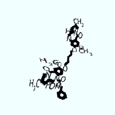 COc1cc2c(cc1OCCCCCOc1cc3c(cc1OC)C(=O)N1C=C(C)C[C@H]1[C@H](O)N3C(=O)OCc1ccccc1)N=C[C@@H]1CC(C)=CN1C2=O